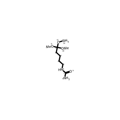 COC(CCCCNC(N)=O)(OC)O[SiH3]